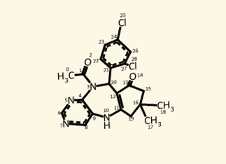 CC(=O)N1c2ncncc2NC2=C(C(=O)CC(C)(C)C2)C1c1ccc(Cl)cc1Cl